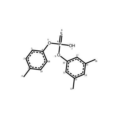 Cc1ccc(OP(O)(=S)Oc2cc(C)cc(C)c2)cc1